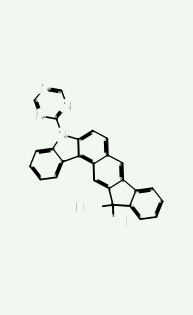 CC1(C)c2ccccc2-c2cc3ccc4c(c3cc21)c1ccccc1n4-c1ncncn1